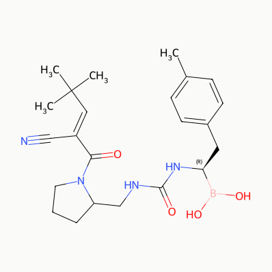 Cc1ccc(C[C@H](NC(=O)NCC2CCCN2C(=O)C(C#N)=CC(C)(C)C)B(O)O)cc1